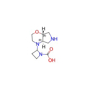 O=C(O)N1CCC1N1CCO[C@@H]2CNC[C@H]21